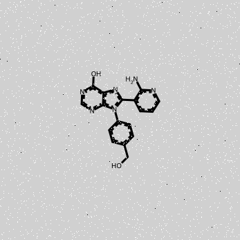 Nc1ncccc1-c1nc2c(O)ncnc2n1-c1ccc(CO)cc1